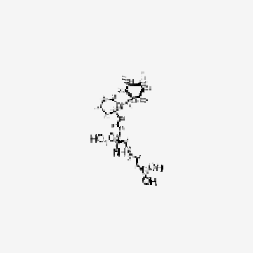 NC(CCCCB(O)O)(CCCC1CCCCN1Cc1ccc(F)c(F)c1)C(=O)O